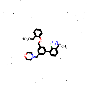 C[C@@H](N)c1cccc(-c2cc(COc3ccccc3CC(=O)O)cc(CN3CCOCC3)c2)c1F